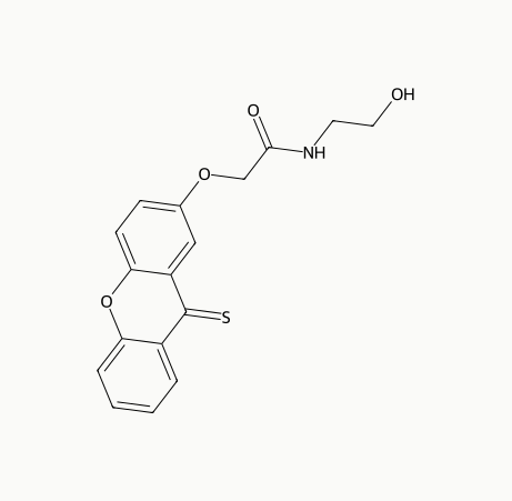 O=C(COc1ccc2oc3ccccc3c(=S)c2c1)NCCO